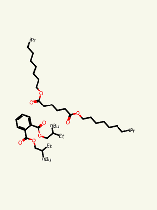 CC(C)CCCCCCCOC(=O)CCCCC(=O)OCCCCCCCC(C)C.CCCCC(CC)COC(=O)c1ccccc1C(=O)OCC(CC)CCCC